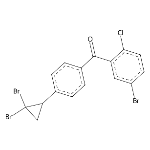 O=C(c1ccc(C2CC2(Br)Br)cc1)c1cc(Br)ccc1Cl